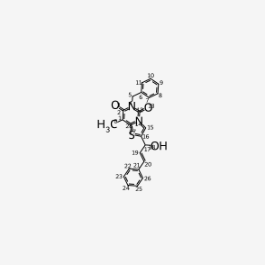 Cc1c(=O)n(Cc2ccccc2)c(=O)n2cc(C(O)C=Cc3ccccc3)sc12